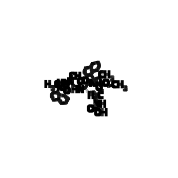 CCOC(OCC)[C@@H](C)C(NC(=O)[C@H](CCCCNC(=O)O)NC(=O)CN(C)NC(=O)N(C)c1cccc2ccccc12)c1cccc2ccccc12